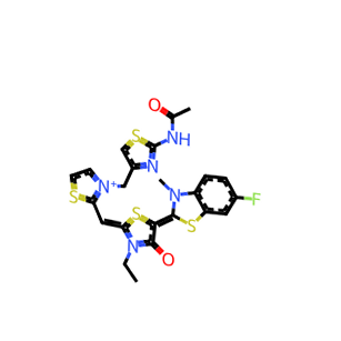 CCn1c(=O)/c(=C2\Sc3cc(F)ccc3N2C)s/c1=C\c1scc[n+]1Cc1csc(NC(C)=O)n1